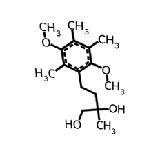 COc1c(C)c(C)c(OC)c(CCC(C)(O)CO)c1C